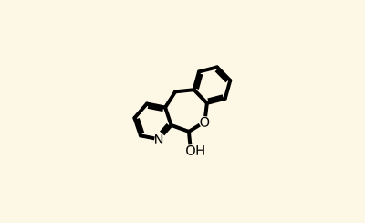 OC1Oc2ccccc2Cc2cccnc21